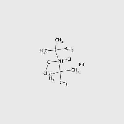 CC(C)(C)[PH](Cl)(OCl)C(C)(C)C.[Pd]